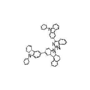 C1=CC2c3cc(C4=CC5C6=c7ccccc7=CCC6N(c6nc(-c7ccc8c(c7)c7ccccc7n8-c7ccccc7)c7ccccc7n6)C5C=C4)ccc3N(c3ccccc3)C2C=C1